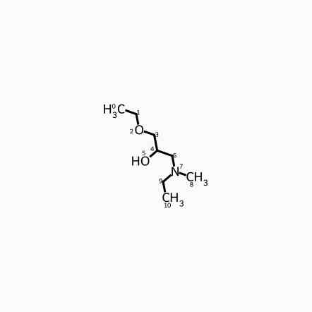 CCOCC(O)CN(C)CC